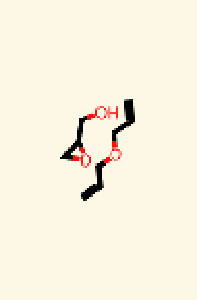 C=CCOCC=C.OCC1CO1